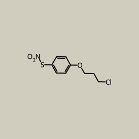 O=[N+]([O-])Sc1ccc(OCCCCl)cc1